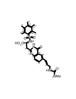 CNC(=O)NCC=Cc1ccc2nc(C[C@H](NS(=O)(=O)c3c(C)c(C)c(C)c(C)c3C)C(=O)O)[nH]c(=O)c2c1